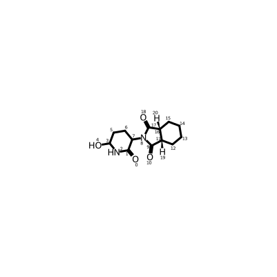 O=C1NC(O)CCC1N1C(=O)[C@H]2CCCC[C@H]2C1=O